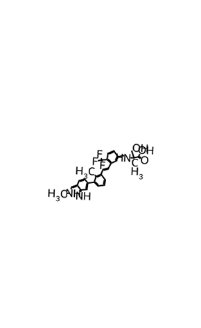 CN/C=C1/C=CC(c2cccc(/C=C/c3cc(CNC(C)(CO)C(=O)O)ccc3C(F)(F)F)c2C)=CC1=N